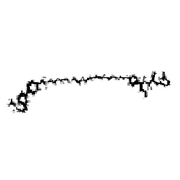 CCCC(NC(=O)/C(C#N)=C/c1cccc(Br)n1)c1ccc(OCCOCCOCCOCCOCCOCCOCCNC(=O)c2ccc(-c3ccc4c(c3)CC[C@H](C)N4C(C)=O)cc2)cc1